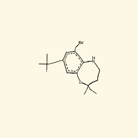 CC1(C)CCNc2c(Br)cc(C(C)(C)C)cc2O1